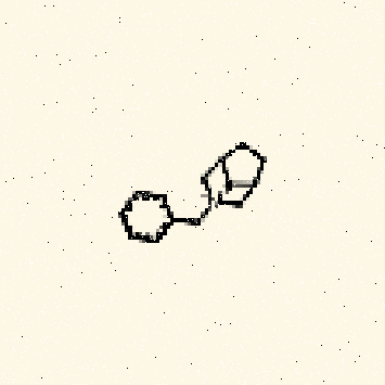 C=C1C2CCC1CN(Cc1ccccc1)C2